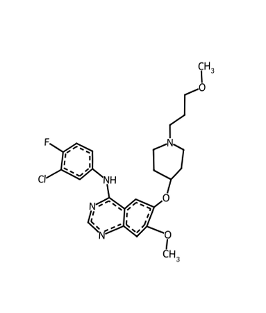 COCCCN1CCC(Oc2cc3c(Nc4ccc(F)c(Cl)c4)ncnc3cc2OC)CC1